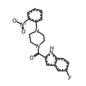 O=C(c1cc2cc(F)ccc2[nH]1)N1CCN(c2ccccc2[N+](=O)[O-])CC1